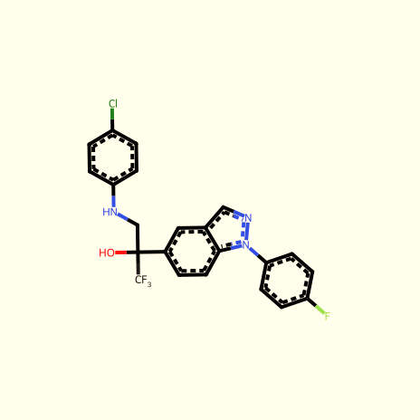 OC(CNc1ccc(Cl)cc1)(c1ccc2c(cnn2-c2ccc(F)cc2)c1)C(F)(F)F